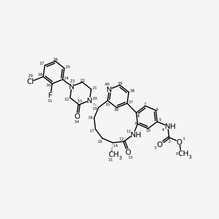 COC(=O)Nc1ccc2c(c1)NC(=O)[C@H](C)CCC[C@H](N1CCN(c3cccc(Cl)c3F)CC1=O)c1cc-2ccn1